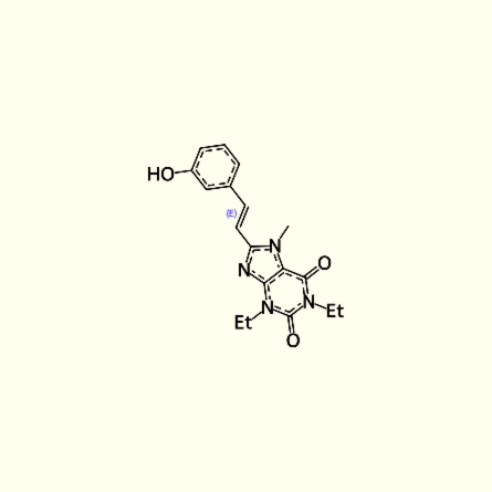 CCn1c(=O)c2c(nc(/C=C/c3cccc(O)c3)n2C)n(CC)c1=O